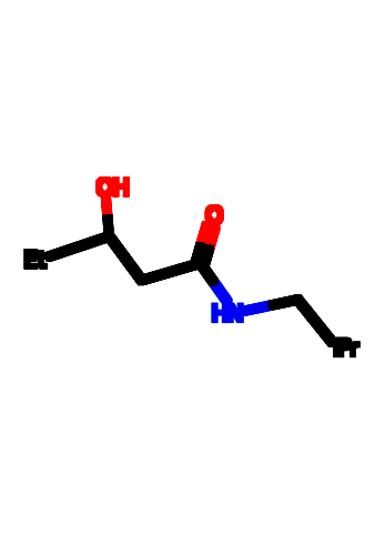 CCC(O)CC(=O)NCC(C)C